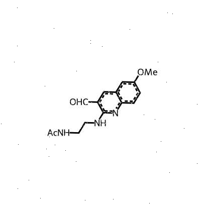 COc1ccc2nc(NCCNC(C)=O)c(C=O)cc2c1